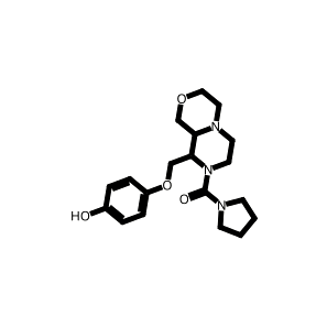 O=C(N1CCCC1)N1CCN2CCOCC2C1COc1ccc(O)cc1